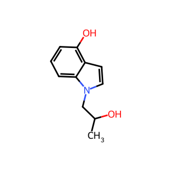 CC(O)Cn1ccc2c(O)cccc21